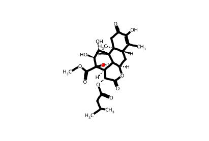 COC(=O)C12OC[C@]34[C@H]([C@@H](O)[C@@H]1O)[C@@]1(C)CC(=O)C(O)=C(C)[C@@H]1C[C@H]3OC(=O)[C@H](OC(=O)CC(C)C)[C@@H]24